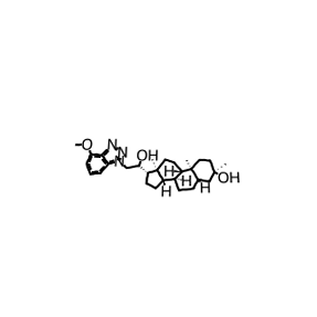 COc1cccc2c1nnn2CC(O)[C@H]1CC[C@H]2[C@@H]3CC[C@H]4C[C@](C)(O)CC[C@]4(C)[C@H]3CC[C@]12C